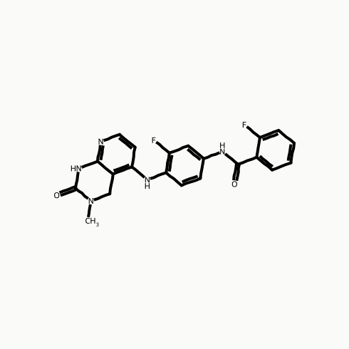 CN1Cc2c(Nc3ccc(NC(=O)c4ccccc4F)cc3F)ccnc2NC1=O